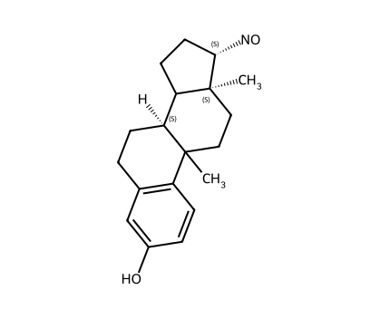 CC12CC[C@@]3(C)C(CC[C@@H]3N=O)[C@@H]1CCc1cc(O)ccc12